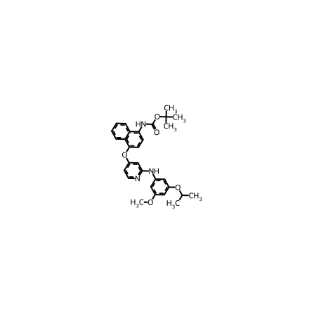 COc1cc(Nc2cc(Oc3ccc(NC(=O)OC(C)(C)C)c4ccccc34)ccn2)cc(OC(C)C)c1